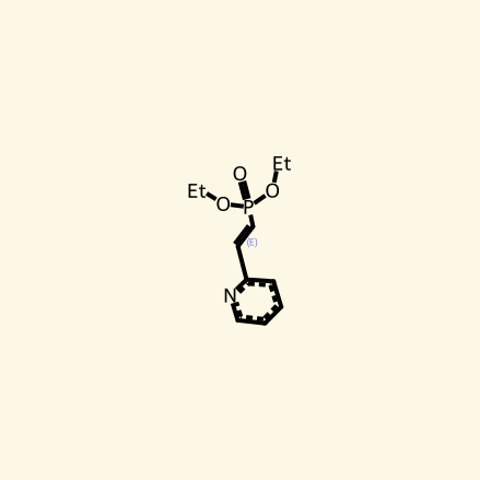 CCOP(=O)(/C=C/c1ccccn1)OCC